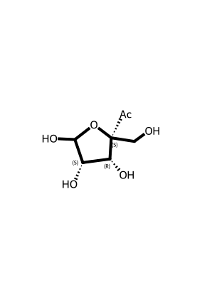 CC(=O)[C@@]1(CO)OC(O)[C@@H](O)[C@H]1O